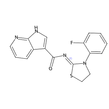 O=C(/N=C1\SCCN1c1ccccc1F)c1c[nH]c2ncccc12